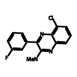 CNc1nc2cccc(Cl)c2nc1-c1cccc(F)c1